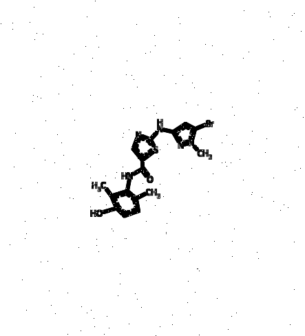 Cc1ccc(O)c(C)c1NC(=O)c1cnc(Nc2cc(Br)n(C)n2)s1